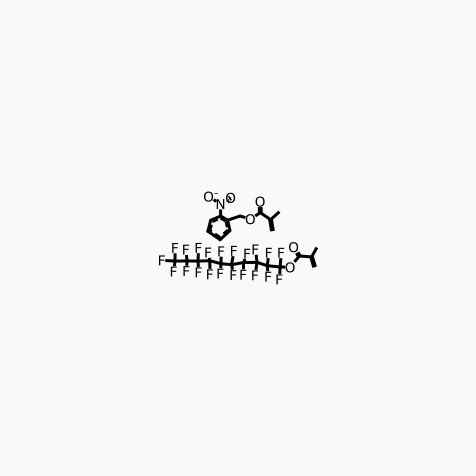 C=C(C)C(=O)OC(F)(F)C(F)(F)C(F)(F)C(F)(F)C(F)(F)C(F)(F)C(F)(F)C(F)(F)C(F)(F)C(F)(F)F.C=C(C)C(=O)OCc1ccccc1[N+](=O)[O-]